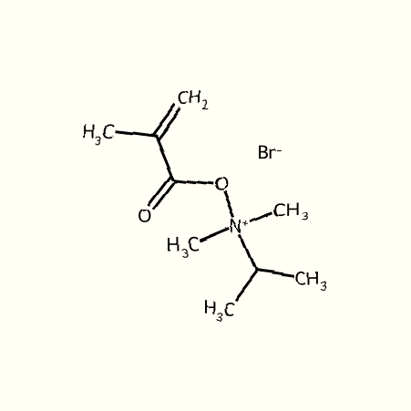 C=C(C)C(=O)O[N+](C)(C)C(C)C.[Br-]